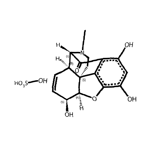 CN1CC[C@@]23c4c5c(O)cc(O)c4C(=O)[C@@H]1[C@@H]2C=C[C@H](O)[C@@H]3O5.O=S(=O)(O)O